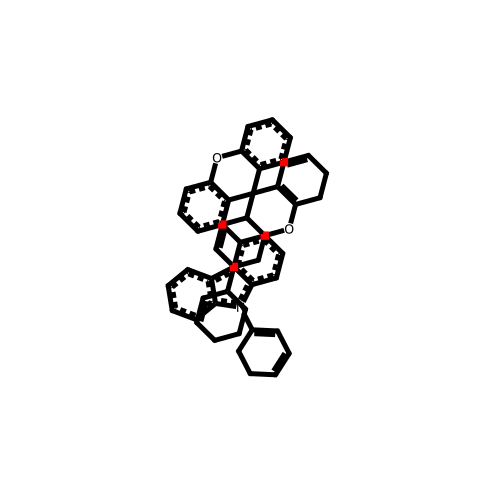 C1=CCCC(n2c3ccccc3c3c(-c4cccc5c4C4(C6=C(CCC=C6)OC6CC(C7C=CCCC7)C=CC64)c4ccccc4O5)cccc32)=C1